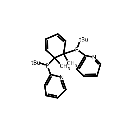 CC(C)(C)P(c1ccccn1)C1(C)C=CC=CC1(C)P(c1ccccn1)C(C)(C)C